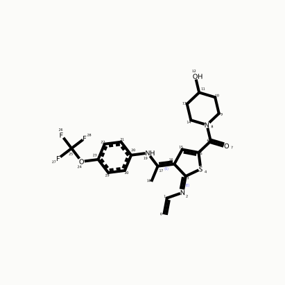 C=C/N=C1/SC(C(=O)N2CCC(O)CC2)=C/C1=C(/C)Nc1ccc(OC(F)(F)F)cc1